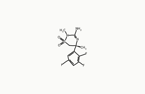 CN1C(N)=N[C@](C)(c2cc(I)cc(F)c2F)CS1(=O)=O